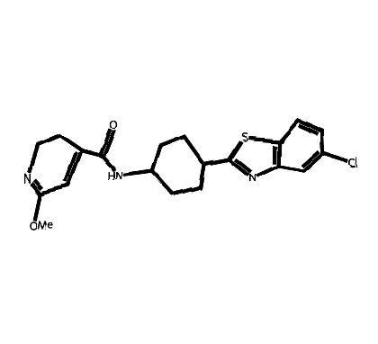 COC1=NCCC(C(=O)NC2CCC(c3nc4cc(Cl)ccc4s3)CC2)=C1